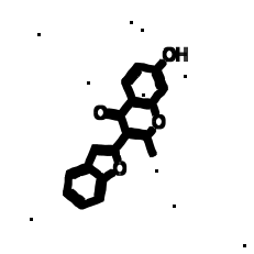 Cc1oc2cc(O)ccc2c(=O)c1-c1cc2ccccc2o1